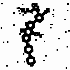 COc1cc(N2CCC(N3CCOCC3)CC2)ccc1Nc1ncc(-c2ccc(C#N)c(OC(C)CN)c2)cn1